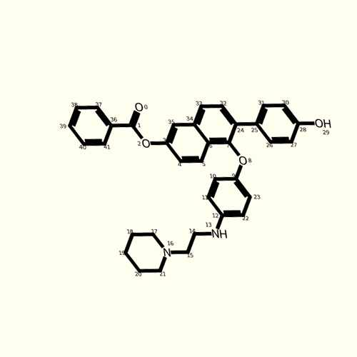 O=C(Oc1ccc2c(Oc3ccc(NCCN4CCCCC4)cc3)c(-c3ccc(O)cc3)ccc2c1)c1ccccc1